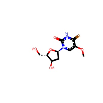 COc1cn([C@H]2C[C@@H](O)[C@H](CO)O2)c(=O)[nH]c1=S